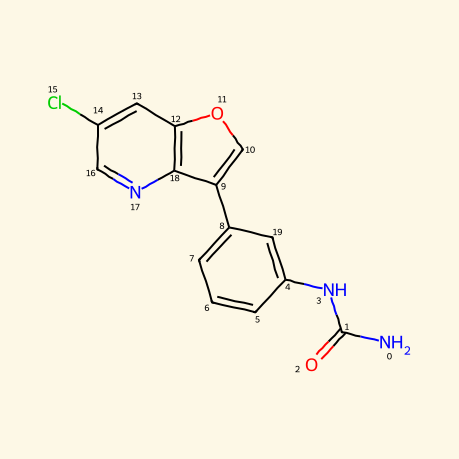 NC(=O)Nc1cccc(-c2coc3cc(Cl)cnc23)c1